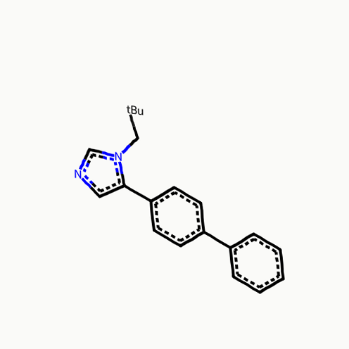 CC(C)(C)Cn1cncc1-c1ccc(-c2ccccc2)cc1